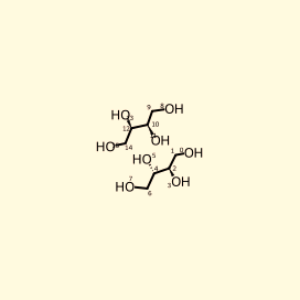 OC[C@@H](O)[C@@H](O)CO.OC[C@@H](O)[C@H](O)CO